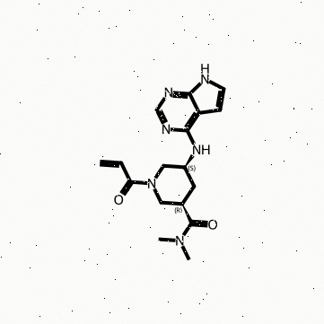 C=CC(=O)N1C[C@@H](Nc2ncnc3[nH]ccc23)C[C@@H](C(=O)N(C)C)C1